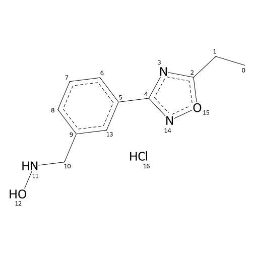 CCc1nc(-c2cccc(CNO)c2)no1.Cl